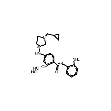 Cl.Cl.Cl.Nc1ccccc1NC(=O)c1ccc(N[C@H]2CCN(CC3CC3)C2)cc1